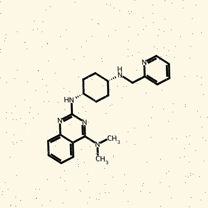 CN(C)c1nc(N[C@H]2CC[C@@H](NCc3ccccn3)CC2)nc2ccccc12